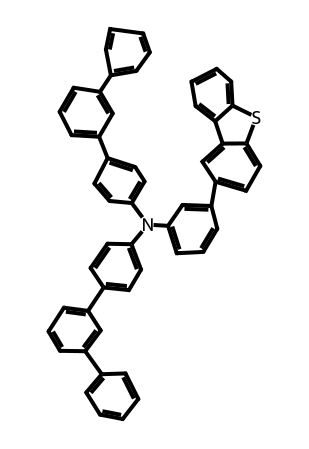 c1ccc(-c2cccc(-c3ccc(N(c4ccc(-c5cccc(-c6ccccc6)c5)cc4)c4cccc(-c5ccc6sc7ccccc7c6c5)c4)cc3)c2)cc1